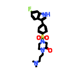 CN(C)CCCN1CCN(S(=O)(=O)c2ccc(-c3c[nH]c4cc(F)ccc34)cc2)CC1=O